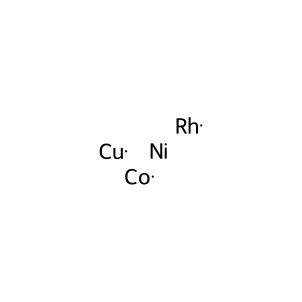 [Co].[Cu].[Ni].[Rh]